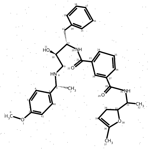 COc1ccc([C@@H](C)NC[C@@H](O)[C@H](Cc2ccccc2)NC(=O)c2cccc(C(=O)NC(C)C3CC=C(C)O3)c2)cc1